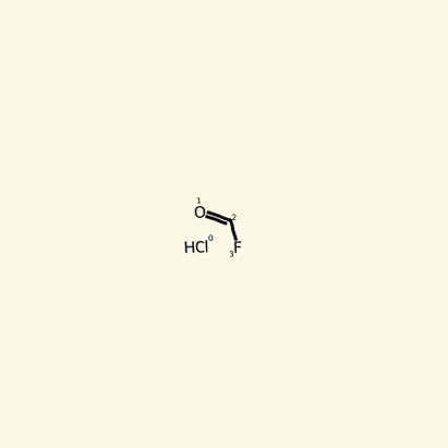 Cl.O=CF